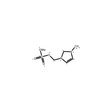 COS(=O)(=O)OCN1C=CN(C)C1